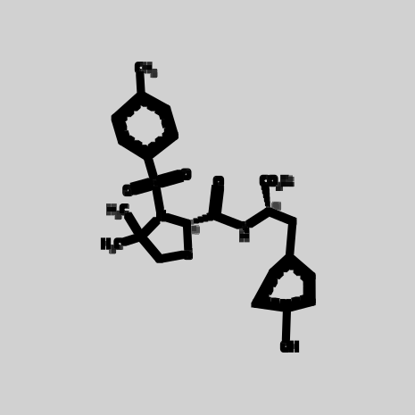 CCOC(=O)[C@H](Cc1ccc(O)cc1)NC(=O)[C@@H]1SCC(C)(C)N1S(=O)(=O)c1ccc(C)cc1